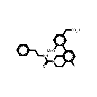 COc1ccc(CC(=O)O)cc1-c1ccc(F)c2c1CN(C(=O)NCCc1ccccc1)CC2